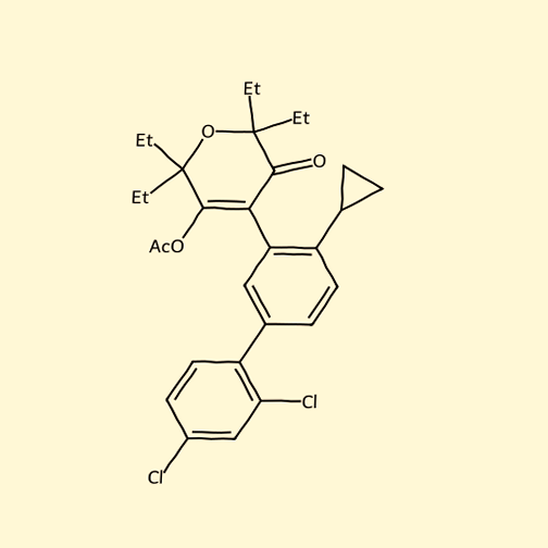 CCC1(CC)OC(CC)(CC)C(OC(C)=O)=C(c2cc(-c3ccc(Cl)cc3Cl)ccc2C2CC2)C1=O